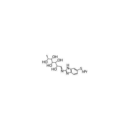 CCCSc1ccc2nc(/N=C/C(O)C(O)C(O)C(O)[C@H](C)O)[nH]c2c1